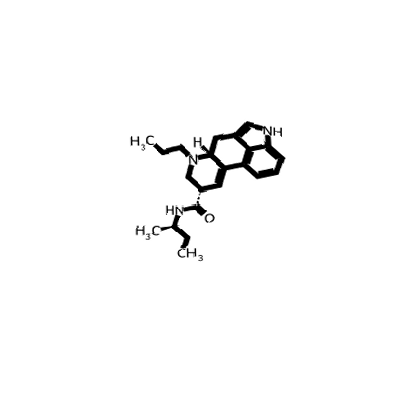 CCCN1C[C@@H](C(=O)N[C@H](C)CC)C=C2c3cccc4[nH]cc(c34)C[C@H]21